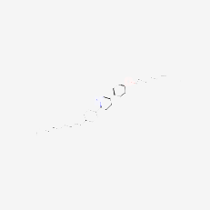 CCCCCCCCC1CCC(c2ccc(-c3ccc(OCCCCCCC)cc3)cn2)CC1